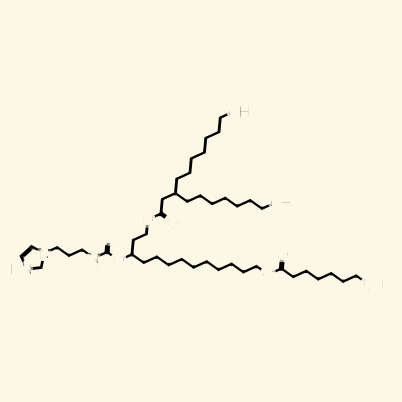 CCCCCCCCC(CCCCCCCC)CC(=O)OCCC(CCCCCCCCCCOC(=O)CCCCCCC)OC(=O)NCCCN1C=CNC1